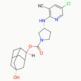 N#Cc1cc(Cl)cnc1N[C@@H]1CCN(C(=O)O[C@H]2C3CC4CC2C[C@](O)(C4)C3)C1